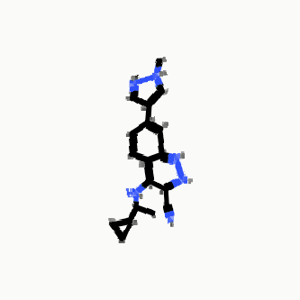 CC(Nc1c(C#N)nnc2cc(-c3cnn(C)c3)ccc12)C1CC1